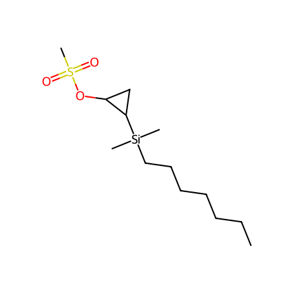 CCCCCCC[Si](C)(C)C1CC1OS(C)(=O)=O